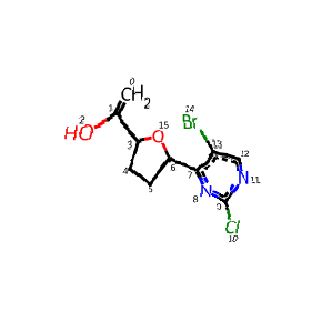 C=C(O)C1CCC(c2nc(Cl)ncc2Br)O1